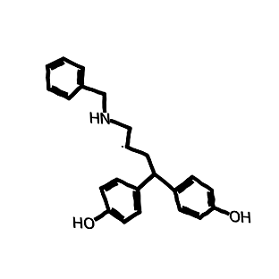 Oc1ccc(C(C[CH]CNCc2ccccc2)c2ccc(O)cc2)cc1